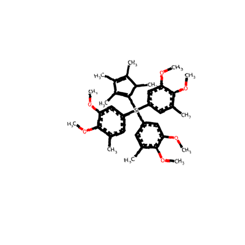 COc1cc([Si](C2=C(C)C(C)=C(C)C2C)(c2cc(C)c(OC)c(OC)c2)c2cc(C)c(OC)c(OC)c2)cc(C)c1OC